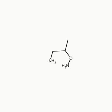 CC(CN)ON